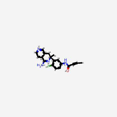 CC#CC(=O)Nc1ccc(F)c(C2(C)Cc3cnccc3C(N)=N2)c1